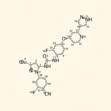 CC(C)(C)c1cc(NC(=O)Nc2ccc(Oc3ccnc(-c4cn[nH]c4)c3)cc2F)n(-c2ccc(C#N)c(F)c2)n1